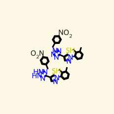 Cc1cccc(-n2ncc(-c3nnn(Cc4ccc([N+](=O)[O-])cc4)n3)c2S)c1C.Cc1cccc(-n2ncc(C3=NNNN3Cc3ccc([N+](=O)[O-])cc3)c2S)c1C